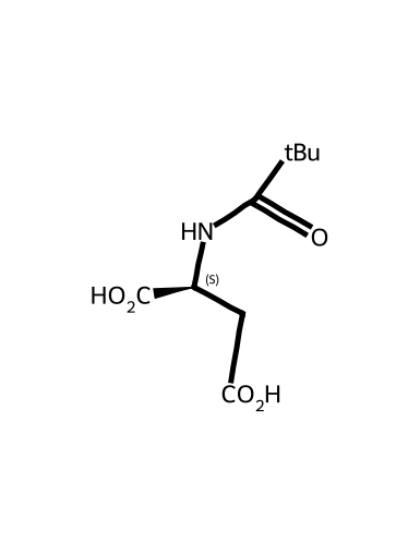 CC(C)(C)C(=O)N[C@@H](CC(=O)O)C(=O)O